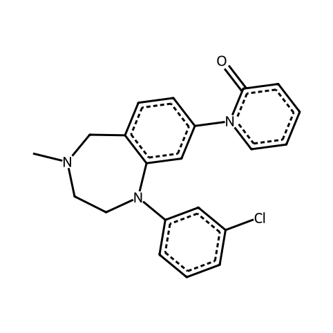 CN1CCN(c2cccc(Cl)c2)c2cc(-n3ccccc3=O)ccc2C1